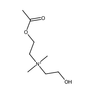 CC(=O)OCC[N+](C)(C)CCO